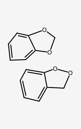 c1ccc2c(c1)COO2.c1ccc2c(c1)OCO2